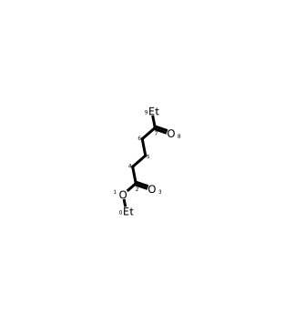 CCOC(=O)CCCC(=O)CC